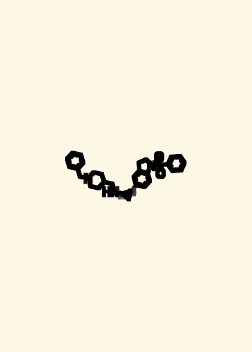 O=S(=O)(c1ccccc1)N1CCc2cc([C@@H]3C[C@H]3NCC3CCN(Cc4ccccc4)CC3)ccc21